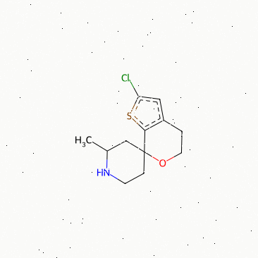 CC1CC2(CCN1)OCCc1cc(Cl)sc12